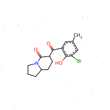 Cc1cc(Br)c(O)c(C(=O)C2CCC3CCCN3C2=O)c1